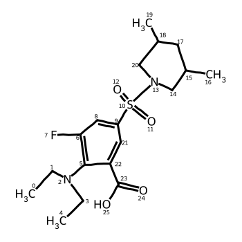 CCN(CC)c1c(F)cc(S(=O)(=O)N2CC(C)CC(C)C2)cc1C(=O)O